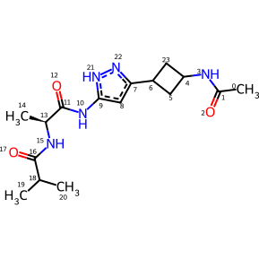 CC(=O)NC1CC(c2cc(NC(=O)[C@H](C)NC(=O)C(C)C)[nH]n2)C1